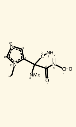 CNC(CN)(C(=O)NC=O)c1cncn1C